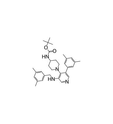 Cc1cc(C)cc(CNc2cncc(-c3cc(C)cc(C)c3)c2N2CCC(NC(=O)OC(C)(C)C)CC2)c1